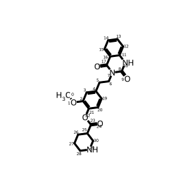 COc1cc(CCn2c(=O)[nH]c3ccccc3c2=O)ccc1OC(=O)C1CCCNC1